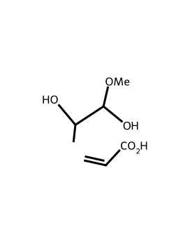 C=CC(=O)O.COC(O)C(C)O